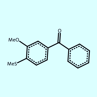 COc1cc(C(=O)c2ccccc2)ccc1SC